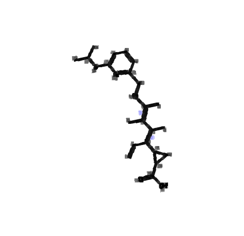 C=C/C(=C(C)\C(C)=C(/C)OCc1cccc(SC(C)C)n1)C1CC1C(=O)O